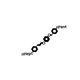 CCCCCCC[C@H]1CC[C@H](CCCOc2ccc(OC[C@H]3CC[C@H](CCCCC)CC3)cc2)CC1